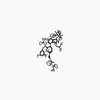 CC(C)(C#Cc1ccc(-c2ccc(Cl)c3c(N(S(C)(=O)=O)S(C)(=O)=O)nn(CC(F)F)c23)c(C(Cc2cc(F)cc(F)c2)OC(N)=O)n1)S(=O)(=O)C1CC1